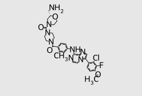 COc1ccc(-c2cnc3c(Nc4ccc(C(=O)N5CCN(C(=O)N6CCO[C@@H](CN)C6)CC5)c(C)c4)nccn23)c(Cl)c1F